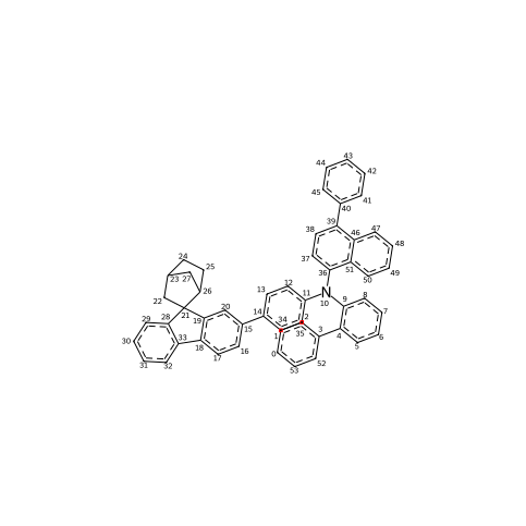 c1ccc(-c2ccccc2N(c2ccc(-c3ccc4c(c3)C3(CC5CCC3C5)c3ccccc3-4)cc2)c2ccc(-c3ccccc3)c3ccccc23)cc1